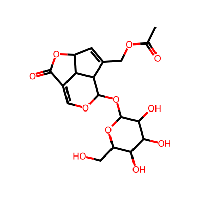 CC(=O)OCC1=CC2OC(=O)C3=COC(OC4OC(CO)C(O)C(O)C4O)C1C32